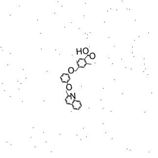 Cc1cc(COc2cccc(OCc3ccc4ccccc4n3)c2)ccc1C(=O)O